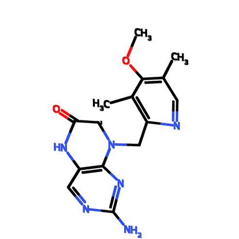 COc1c(C)cnc(CN2[C]C(=O)Nc3cnc(N)nc32)c1C